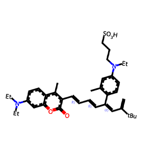 C=C(/C=C(/C=C/C=C/c1c(C)c2ccc(N(CC)CC)cc2oc1=O)c1ccc(N(CC)CCCS(=O)(=O)O)cc1C)C(C)(C)C